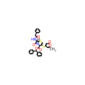 Cc1cc(SC2=CS[C@@H]3[C@H](NC(=O)Cc4ccccc4)C(=O)N3C2C(=O)OC(c2ccccc2)c2ccccc2)cc(=O)o1